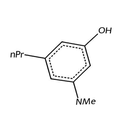 CCCc1cc(O)cc(NC)c1